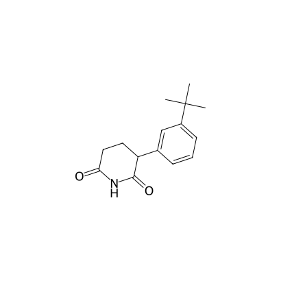 CC(C)(C)c1cccc(C2CCC(=O)NC2=O)c1